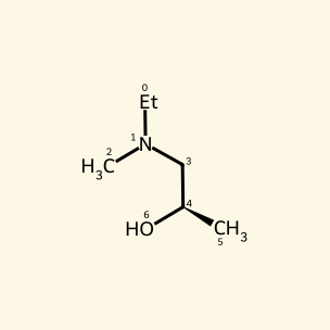 CCN(C)C[C@@H](C)O